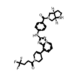 O=C(CCC(F)(F)F)N1CC=C(c2cccn3nc(Nc4ccc(C(=O)N5C[C@@H]6CCN[C@@H]6C5)cc4)nc23)CC1